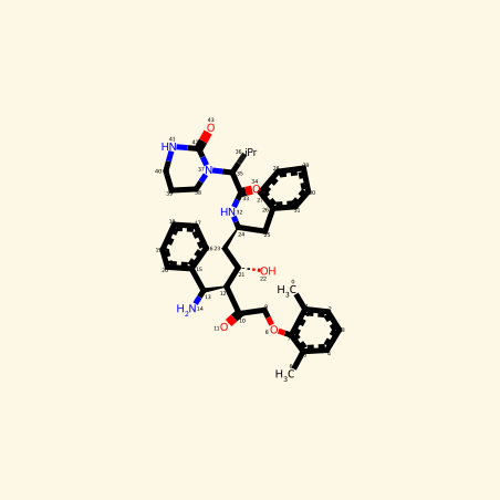 Cc1cccc(C)c1OCC(=O)[C@@H](C(N)c1ccccc1)[C@@H](O)C[C@H](Cc1ccccc1)NC(=O)C(C(C)C)N1CCCNC1=O